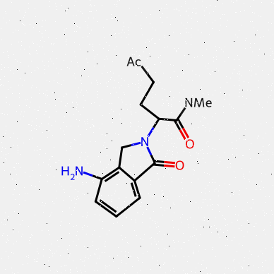 CNC(=O)C(CCC(C)=O)N1Cc2c(N)cccc2C1=O